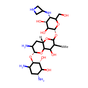 CNC1C(O[C@H]2OC(CO)[C@@H](NC3CNC3)[C@H](O)C2O)O[C@H]2CC(N)[C@@H](O[C@@H]3C(N)C[C@@H](N)C(O)[C@H]3O)OC2C1O